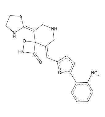 O=C1NOC12C(=Cc1ccc(-c3ccccc3[N+](=O)[O-])o1)CNCC2=C1NCCS1